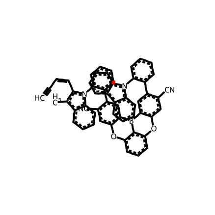 C#C/C=C\c1c(C)c2ccccc2n1-c1ccccc1-c1cc2c(cc1C#N)Oc1cccc3c1B2c1cc(-c2ccccc2-n2c4ccccc4c4ccccc42)c(C#N)cc1O3